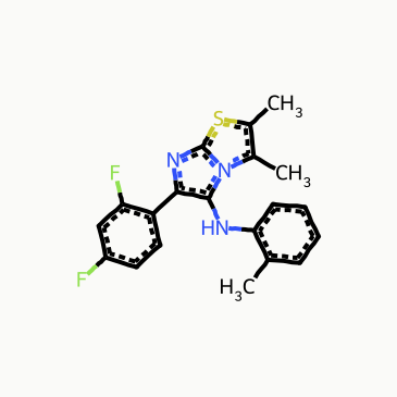 Cc1ccccc1Nc1c(-c2ccc(F)cc2F)nc2sc(C)c(C)n12